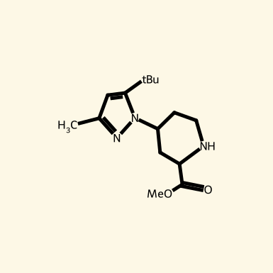 COC(=O)C1CC(n2nc(C)cc2C(C)(C)C)CCN1